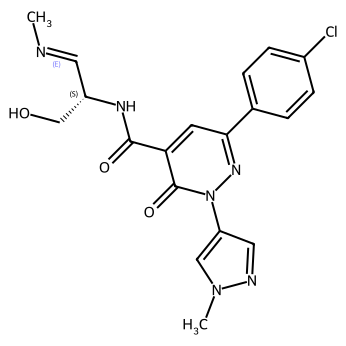 C/N=C/[C@@H](CO)NC(=O)c1cc(-c2ccc(Cl)cc2)nn(-c2cnn(C)c2)c1=O